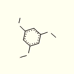 COc1cc(SI)cc(SI)c1